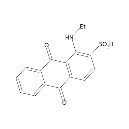 CCNc1c(S(=O)(=O)O)ccc2c1C(=O)c1ccccc1C2=O